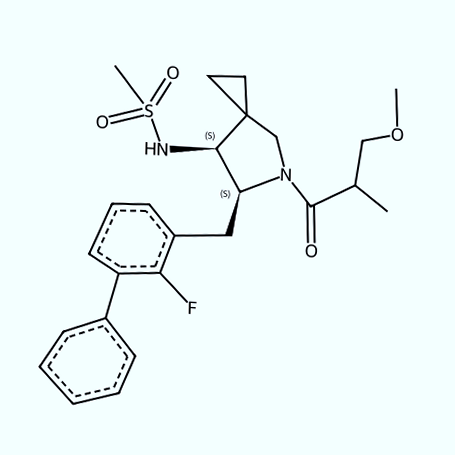 COCC(C)C(=O)N1CC2(CC2)[C@H](NS(C)(=O)=O)[C@@H]1Cc1cccc(-c2ccccc2)c1F